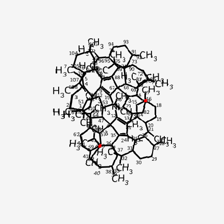 CC1CCC(C(C)C)C(C2=[C]([Ni][C]3=C(C4CC(C)CCC4C(C)C)C(C4CC(C)CCC4C(C)C)=C(C4CC(C)CCC4C(C)C)C3(C3CC(C)CCC3C(C)C)C3CC(C)CCC3C(C)C)C(C3CC(C)CCC3C(C)C)(C3CC(C)CCC3C(C)C)C(C3CC(C)CCC3C(C)C)=C2C2CC(C)CCC2C(C)C)C1